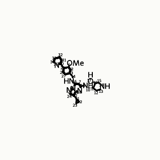 COc1cc(CNc2cc(NC[C@H]3CCNC[C@@H]3O)nc3c(C4CC4)cnn23)ccc1-c1ccccn1